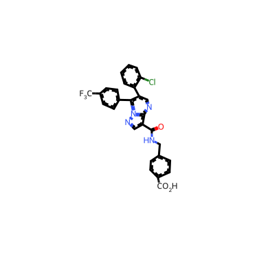 O=C(O)c1ccc(CNC(=O)c2cnn3c(-c4ccc(C(F)(F)F)cc4)c(-c4ccccc4Cl)cnc23)cc1